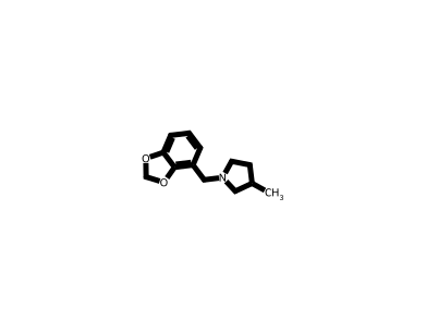 CC1CCN(Cc2cccc3c2OCO3)C1